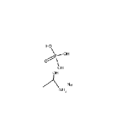 CC(N)O.O=P(O)(O)O.[Na]